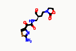 Nc1nc(C(=O)C(=O)NC[C@H](C=O)CCN2CCOC2=O)cs1